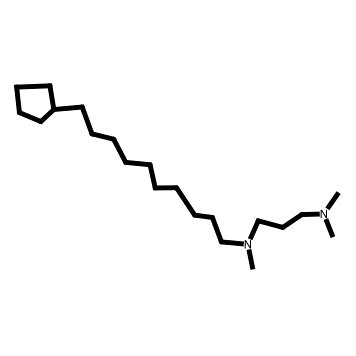 CN(C)CCCN(C)CCCCCCCCCCC1CCCC1